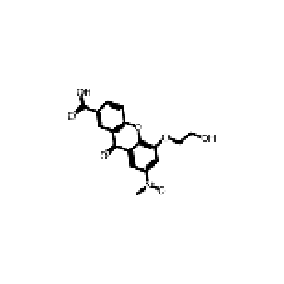 C[S+]([O-])c1cc(OCCO)c2oc3ccc(C(=O)O)cc3c(=O)c2c1